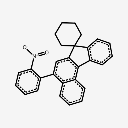 O=[N+]([O-])c1ccccc1-c1cc2c(c3ccccc13)-c1ccccc1C21CCCCC1